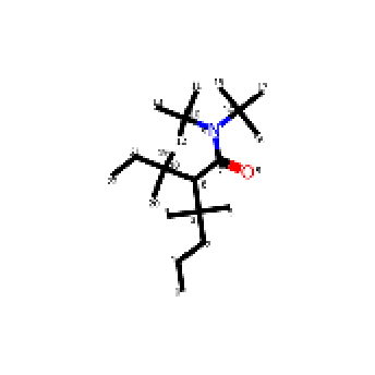 CCCC(C)(C)C(C(=O)N(C(C)(C)C)C(C)(C)C)C(C)(C)CC